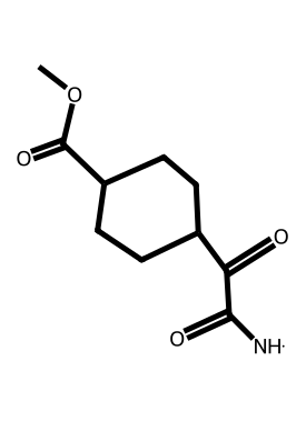 COC(=O)C1CCC(C(=O)C([NH])=O)CC1